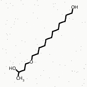 CC(O)CCOCCCCCCCCCCCCO